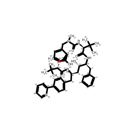 CN(Cc1ccccc1)C(=O)N[C@H](C(=O)N[C@@H](Cc1ccccc1)[C@@H](O)C[C@@H](Cc1ccc(-c2ccccn2)cc1)NC(=O)[C@@H](N(C)C(=O)O)C(C)(C)C)C(C)(C)C